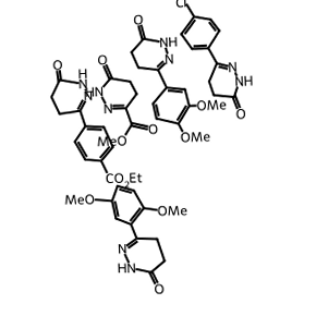 CCOC(=O)c1ccc(C2=NNC(=O)CC2)cc1.COC(=O)C1=NNC(=O)CC1.COc1ccc(C2=NNC(=O)CC2)cc1OC.COc1ccc(OC)c(C2=NNC(=O)CC2)c1.O=C1CCC(c2ccc(Cl)cc2)=NN1